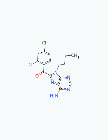 CCCCn1c(C(=O)c2ccc(Cl)cc2Cl)nc2c(N)ncnc21